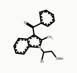 CCC(COC)n1c(C)c(C(=O)c2ccccc2)c2ccccc21